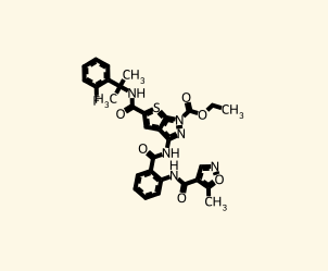 CCOC(=O)n1nc(NC(=O)c2ccccc2NC(=O)c2cnoc2C)c2cc(C(=O)NC(C)(C)c3ccccc3F)sc21